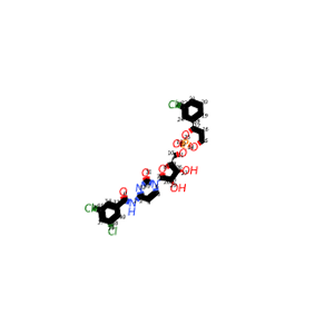 O=C(Nc1ccn([C@@H]2O[C@H](COP3(=O)OCC[C@@H](c4cccc(Cl)c4)O3)[C@@H](O)[C@H]2O)c(=O)n1)c1cc(Cl)cc(Cl)c1